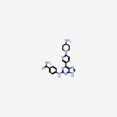 NC(=O)c1ccc(Nc2nc(-c3ccc(N4CCC(N)CC4)nc3)c3nc[nH]c3n2)cc1